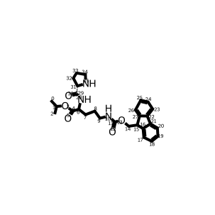 CC(C)OC(=O)C(CCCNC(=O)OCC1c2ccccc2-c2ccccc21)NC(=O)[C@@H]1CCCN1